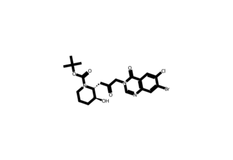 CC(C)(C)OC(=O)N1CCC[C@H](O)[C@H]1CC(=O)Cn1cnc2cc(Br)c(Cl)cc2c1=O